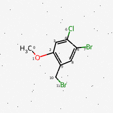 COc1cc(Cl)c(Br)cc1CBr